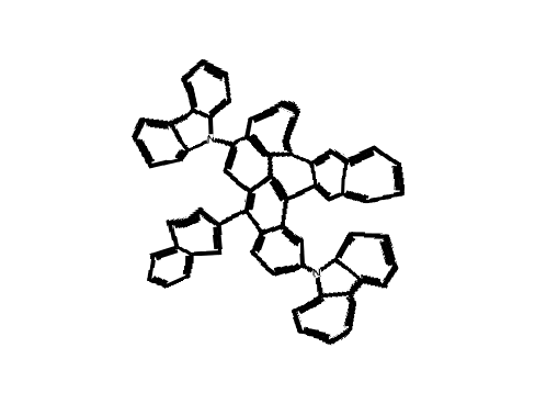 c1ccc(-c2cc3ccccc3cc2-c2c3ccc(-n4c5ccccc5c5ccccc54)cc3c(-c3ccc4ccccc4c3)c3ccc(-n4c5ccccc5c5ccccc54)cc23)cc1